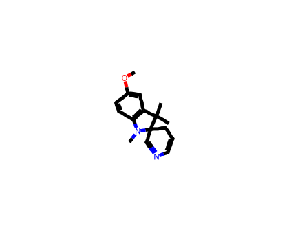 COc1ccc2c(c1)C(C)(C)C1(C=NC=CC1)N2C